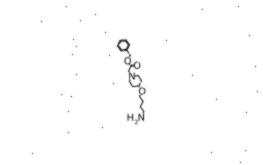 NCCCCOC1CCN(CC(=O)OCc2ccccc2)CC1